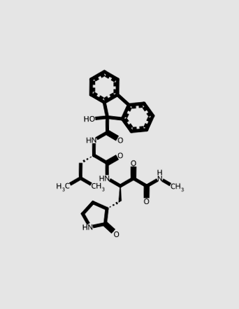 CNC(=O)C(=O)[C@@H](C[C@H]1CCNC1=O)NC(=O)[C@H](CC(C)C)NC(=O)C1(O)c2ccccc2-c2ccccc21